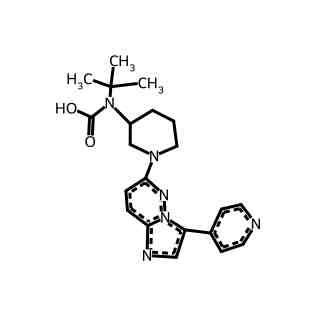 CC(C)(C)N(C(=O)O)C1CCCN(c2ccc3ncc(-c4ccncc4)n3n2)C1